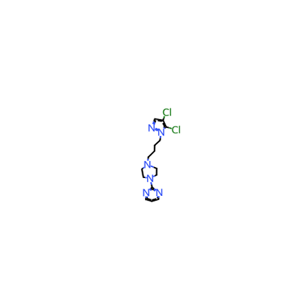 Clc1cnn(CCCCN2CCN(c3ncccn3)CC2)c1Cl